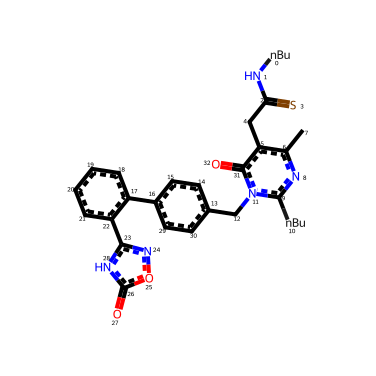 CCCCNC(=S)Cc1c(C)nc(CCCC)n(Cc2ccc(-c3ccccc3-c3noc(=O)[nH]3)cc2)c1=O